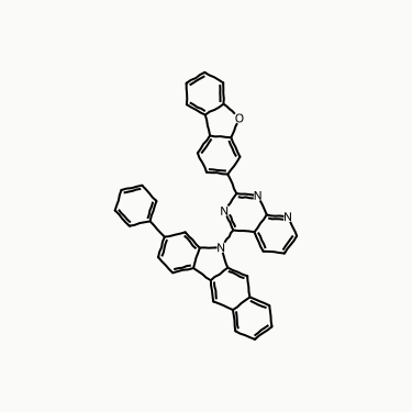 c1ccc(-c2ccc3c4cc5ccccc5cc4n(-c4nc(-c5ccc6c(c5)oc5ccccc56)nc5ncccc45)c3c2)cc1